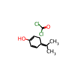 CC(C)=C1C=CC(O)=CC1.O=C(Cl)Cl